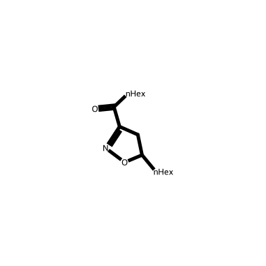 CCCCCCC(=O)C1=NOC(CCCCCC)C1